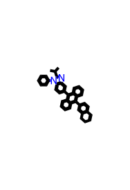 CC(C)c1nc2cc(-c3c4ccccc4c(-c4ccc5c(c4)CCC=C5)c4ccccc34)ccc2n1-c1ccccc1